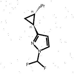 CC(C)[C@H]1C[C@@H]1c1ccn(C(F)F)n1